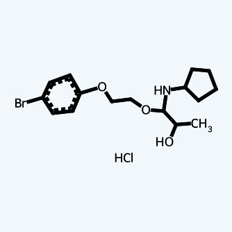 CC(O)C(NC1CCCC1)OCCOc1ccc(Br)cc1.Cl